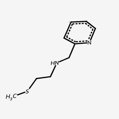 CSCCNCc1c[c]ccn1